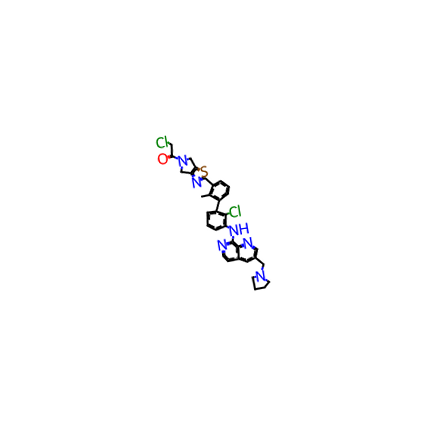 Cc1c(-c2nc3c(s2)CN(C(=O)CCl)C3)cccc1-c1cccc(Nc2nccc3cc(CN4CCCC4)cnc23)c1Cl